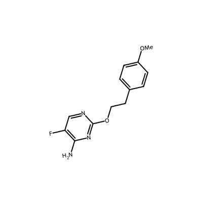 COc1ccc(CCOc2ncc(F)c(N)n2)cc1